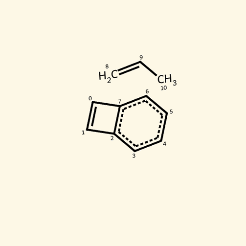 C1=Cc2ccccc21.C=CC